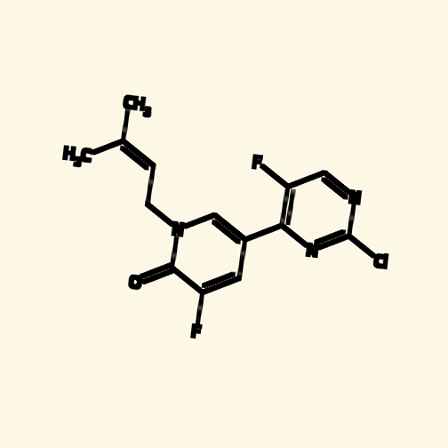 CC(C)=CCn1cc(-c2nc(Cl)ncc2F)cc(F)c1=O